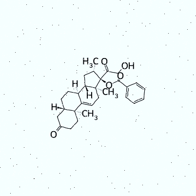 C[C@H]1C[C@H]2[C@@H]3CC[C@H]4CC(=O)CC[C@]4(C)C3=CC[C@]2(C)[C@@]1(OC(=O)c1ccccc1)C(=O)CO